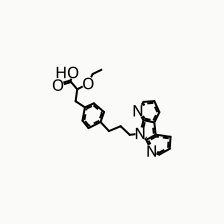 CCOC(Cc1ccc(CCCn2c3ncccc3c3cccnc32)cc1)C(=O)O